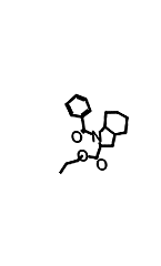 CCCOC(=O)C1CC2CCCCC2N1C(=O)c1ccccc1